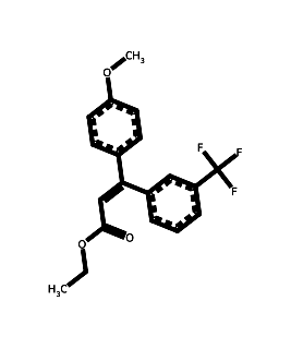 CCOC(=O)C=C(c1ccc(OC)cc1)c1cccc(C(F)(F)F)c1